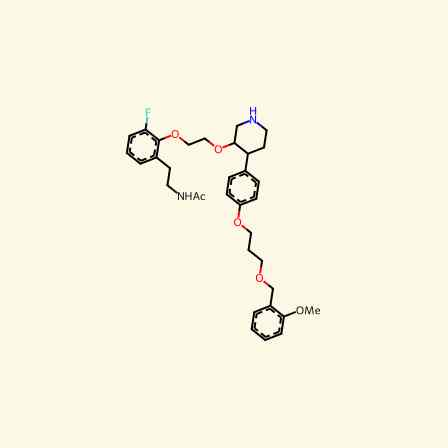 COc1ccccc1COCCCOc1ccc(C2CCNCC2OCCOc2c(F)cccc2CCNC(C)=O)cc1